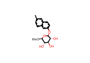 CO[C@H]1O[C@@H](Oc2ccc3cc(C)ccc3c2)[C@H](O)[C@@H](O)[C@@H]1O